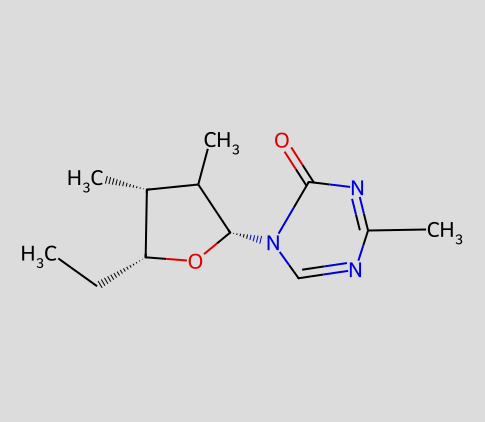 CC[C@H]1O[C@@H](n2cnc(C)nc2=O)C(C)[C@H]1C